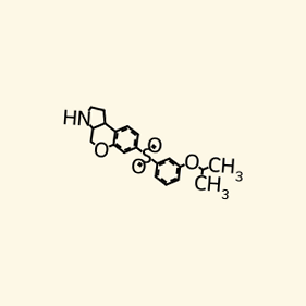 CC(C)Oc1cccc(S(=O)(=O)c2ccc3c(c2)OCC2NCCC32)c1